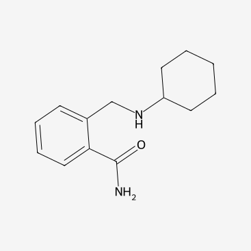 NC(=O)c1ccccc1CNC1CCCCC1